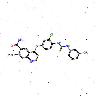 COc1cc2nccc(Oc3ccc(NC(=S)Nc4cccc(C(F)(F)F)c4)c(Cl)c3)c2cc1C(N)=O